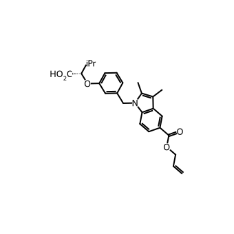 C=CCOC(=O)c1ccc2c(c1)c(C)c(C)n2Cc1cccc(O[C@H](C(=O)O)C(C)C)c1